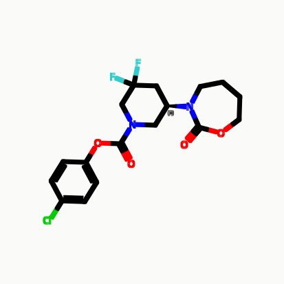 O=C(Oc1ccc(Cl)cc1)N1C[C@H](N2CCCCOC2=O)CC(F)(F)C1